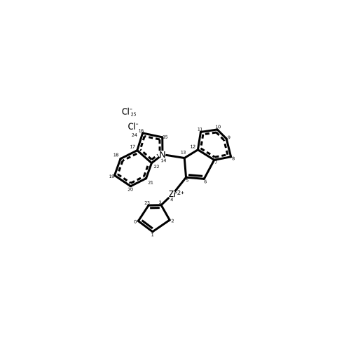 C1=CC[C]([Zr+2][C]2=Cc3ccccc3C2n2ccc3ccccc32)=C1.[Cl-].[Cl-]